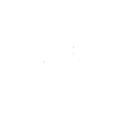 CCCCn1nccc1C(O)c1ccccc1